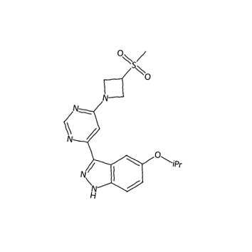 CC(C)Oc1ccc2[nH]nc(-c3cc(N4CC(S(C)(=O)=O)C4)ncn3)c2c1